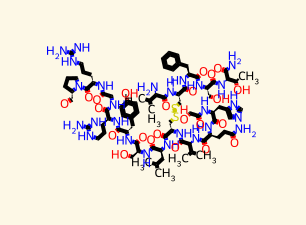 CC(C)C[C@H](NC(=O)[C@H](CSSC[C@H](NC(=O)[C@@H](N)C(C)C)C(=O)N[C@@H](Cc1ccccc1)C(=O)N[C@@H](CO)C(=O)N[C@H](C(N)=O)[C@@H](C)O)NC(=O)[C@@H](NC(=O)[C@H](CCC(N)=O)NC(=O)[C@H](Cc1cnc[nH]1)NC(=O)CO)C(C)C)C(=O)N[C@@H](CO)C(=O)N[C@@H](Cc1ccc(O)cc1)C(=O)N[C@@H](CCCNC(=N)N)C(=O)NCC(=O)N[C@@H](CCCNC(=N)N)C(=O)N1CCC[C@H]1C=O